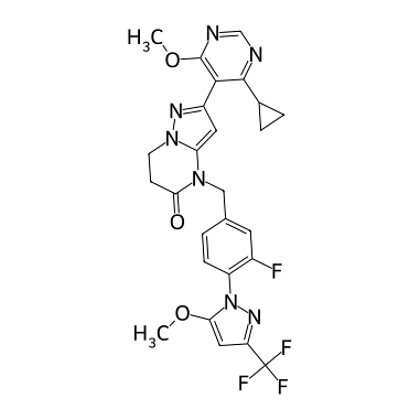 COc1ncnc(C2CC2)c1-c1cc2n(n1)CCC(=O)N2Cc1ccc(-n2nc(C(F)(F)F)cc2OC)c(F)c1